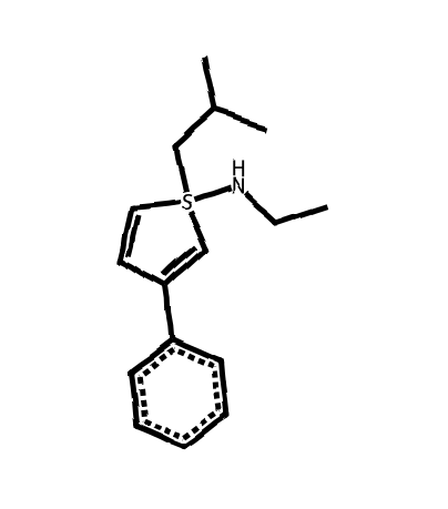 CCNS1(CC(C)C)C=CC(c2ccccc2)=C1